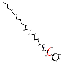 CCCCCCCCCCCCCCCCC/C=C/C(=O)Oc1ccccc1